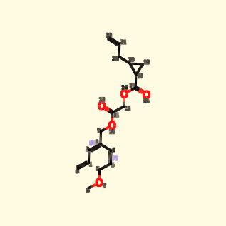 C=C/C=C(\C=C/COC)COC(=O)COC(=O)C1CC1CC=C